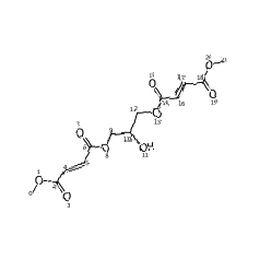 COC(=O)/C=C/C(=O)OCC(O)COC(=O)/C=C/C(=O)OC